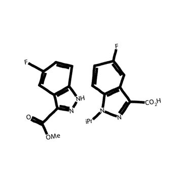 CC(C)n1nc(C(=O)O)c2cc(F)ccc21.COC(=O)c1n[nH]c2ccc(F)cc12